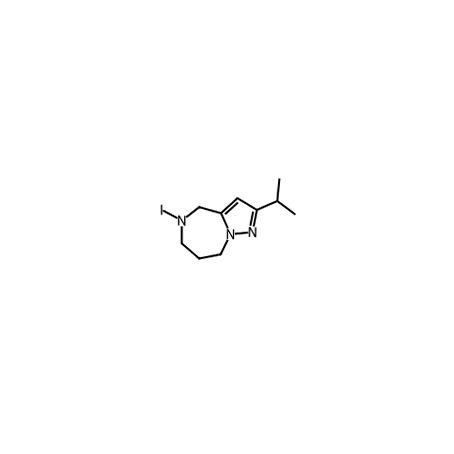 CC(C)c1cc2n(n1)CCCN(I)C2